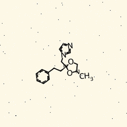 C[C@@H]1CO[C@@](CCc2ccccc2)(Cn2ccnc2)O1